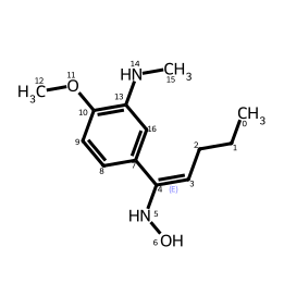 CCC/C=C(/NO)c1ccc(OC)c(NC)c1